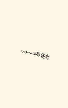 CC1(C)OCC(COCC(O)COC/C=C/C=C/COCC2CO2)O1